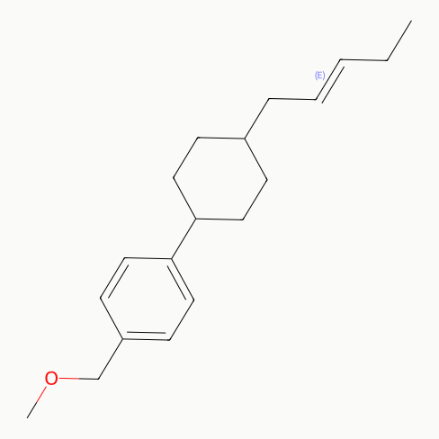 CC/C=C/CC1CCC(c2ccc(COC)cc2)CC1